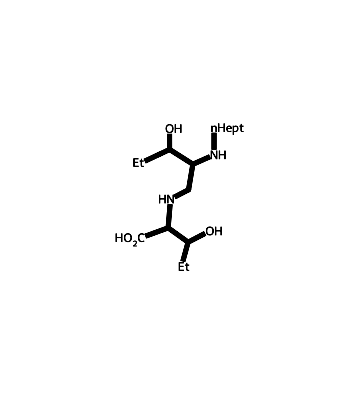 CCCCCCCNC(CNC(C(=O)O)C(O)CC)C(O)CC